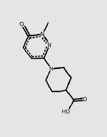 Cn1nc(N2CCC(C(=O)O)CC2)ccc1=O